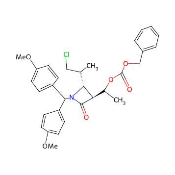 COc1ccc(C(c2ccc(OC)cc2)N2C(=O)[C@H](C(C)OC(=O)OCc3ccccc3)[C@H]2C(C)CCl)cc1